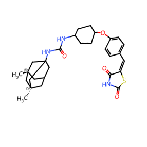 C[C@]12CC3CC(NC(=O)NC4CCC(Oc5ccc(C=C6SC(=O)NC6=O)cc5)CC4)(C1)C[C@@](C)(C3)C2